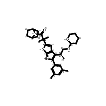 Cc1cc(C)cc(-c2[nH]c3sc(C(C)(C)C(=O)N4C5CCC4CC5)cc3c2[C@H](C)COC2CCCCO2)c1